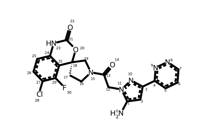 Nc1cc(-c2cccnn2)nn1CC(=O)N1CC[C@@]2(C1)OC(=O)Nc1ccc(Cl)c(F)c12